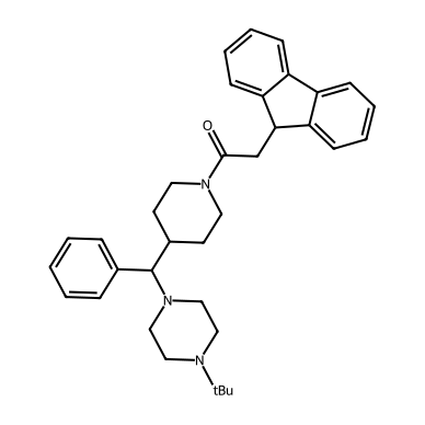 CC(C)(C)N1CCN(C(c2ccccc2)C2CCN(C(=O)CC3c4ccccc4-c4ccccc43)CC2)CC1